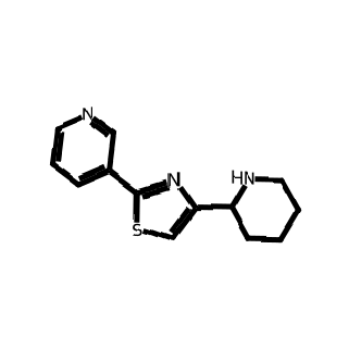 c1cncc(-c2nc(C3CCCCN3)cs2)c1